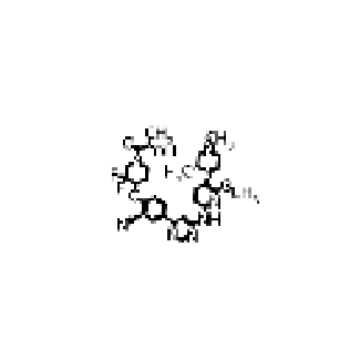 COc1nc(Nc2cc(-c3ccc(OC4CCN(C(=O)[C@@H](C)O)CC4(F)F)c(C#N)c3)ncn2)ccc1N1CCN(C)C[C@@H]1C